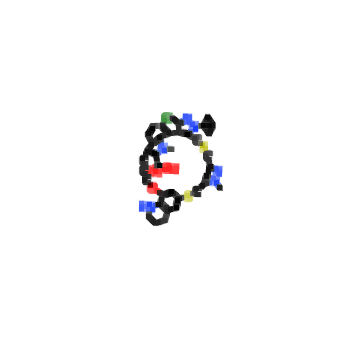 Cc1nn(C23CC2C3)c2c1-c1c(Cl)ccc3c(c(C(O)O)n(C)c13)CCCOc1cc(cc3c1NCCC3)SCc1cc(nn1C)CSC2